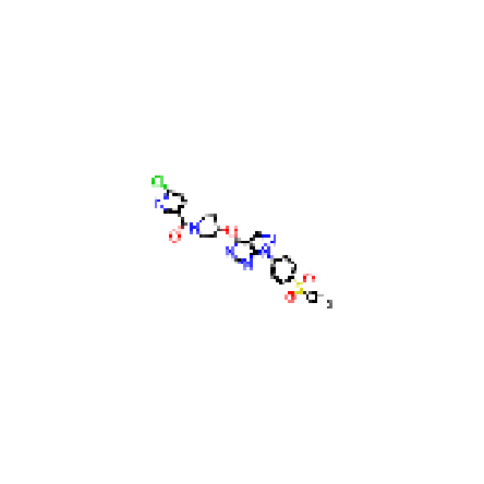 CS(=O)(=O)c1ccc(-n2ncc3c(OC4CCN(C(=O)c5ccc(Cl)nc5)CC4)ncnc32)cc1